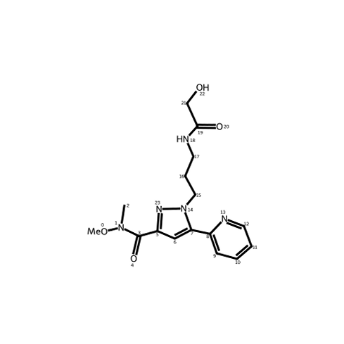 CON(C)C(=O)c1cc(-c2ccccn2)n(CCCNC(=O)CO)n1